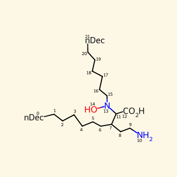 CCCCCCCCCCCCCCCCC(CCN)C(C(=O)O)N(O)CCCCCCCCCCCCCCCC